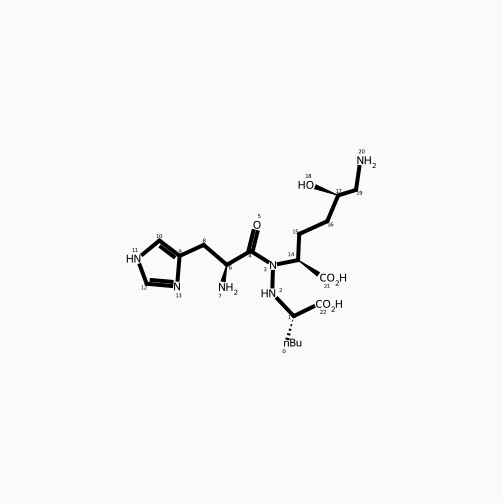 CCCC[C@H](NN(C(=O)[C@@H](N)Cc1c[nH]cn1)[C@@H](CC[C@@H](O)CN)C(=O)O)C(=O)O